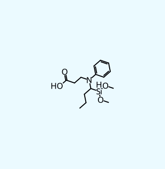 CCCC(N(CCC(=O)O)c1ccccc1)[SiH](OC)OC